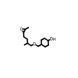 CC(CCC1OC1C)COCC1CCC(O)CC1